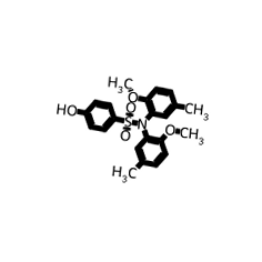 COc1ccc(C)cc1N(c1cc(C)ccc1OC)S(=O)(=O)c1ccc(O)cc1